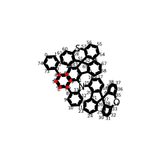 c1ccc(-c2ccc(-c3ccccc3N(c3cccc4c3-c3ccccc3C43c4ccccc4Oc4ccccc43)c3c4c(cc5ccccc35)C3(c5ccccc5Sc5ccccc53)c3ccccc3-4)cc2)cc1